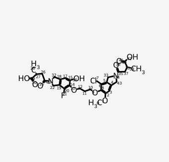 COc1cc2c(c(Cl)c1OCCCOc1c(O)cc3c(c1F)CN(C(=O)C[C@H](C)C(=O)O)C3)CN(C(=O)C[C@H](C)C(=O)O)C2